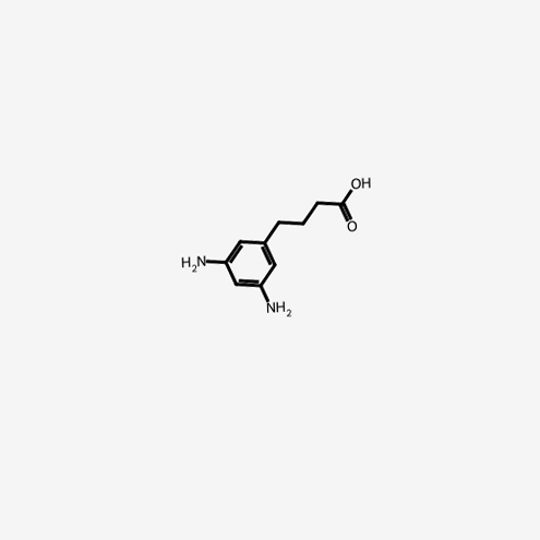 Nc1cc(N)cc(CCCC(=O)O)c1